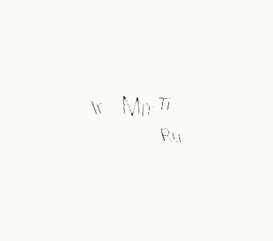 [Ir].[Mn].[Ru].[Ti]